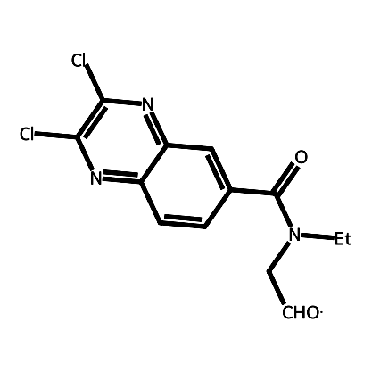 CCN(C[C]=O)C(=O)c1ccc2nc(Cl)c(Cl)nc2c1